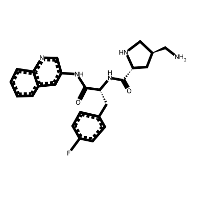 NC[C@@H]1CN[C@@H](C(=O)N[C@H](Cc2ccc(F)cc2)C(=O)Nc2cnc3ccccc3c2)C1